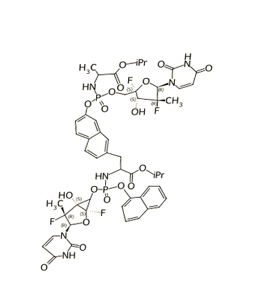 CC(C)OC(=O)C(C)NP(=O)(OC[C@@]1(F)O[C@@H](n2ccc(=O)[nH]c2=O)[C@](C)(F)[C@@H]1O)Oc1ccc2ccc(CC(NP(=O)(Oc3cccc4ccccc34)OC3[C@]4(O)[C@@](C)(F)[C@H](n5ccc(=O)[nH]c5=O)O[C@]34F)C(=O)OC(C)C)cc2c1